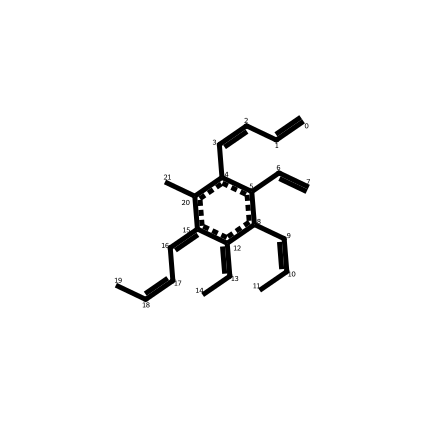 C=C/C=C\c1c(C=C)c(/C=C\C)c(=C/C)/c(=C\C=C/C)c1C